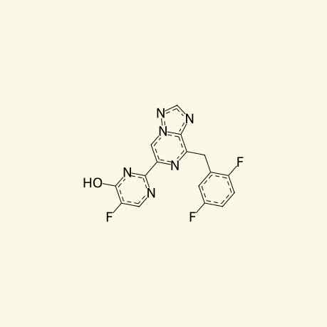 Oc1nc(-c2cn3ncnc3c(Cc3cc(F)ccc3F)n2)ncc1F